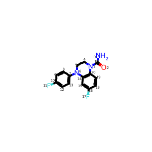 NC(=O)N1CCN(c2ccc(F)cc2)c2cc(F)ccc21